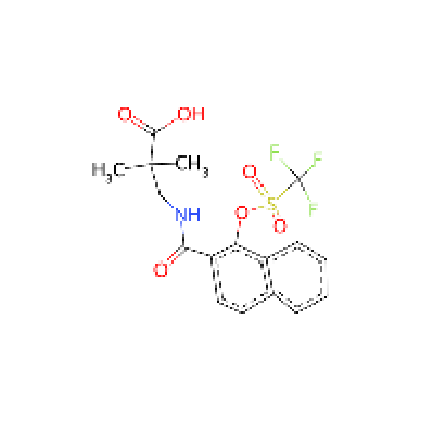 CC(C)(CNC(=O)c1ccc2ccccc2c1OS(=O)(=O)C(F)(F)F)C(=O)O